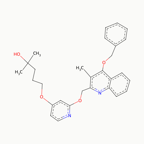 Cc1c(COc2cc(OCCCC(C)(C)O)ccn2)nc2ccccc2c1OCc1ccccc1